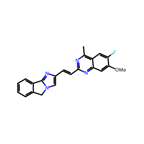 COc1cc2nc(/C=C/c3cn4c(n3)-c3ccccc3C4)nc(C)c2cc1F